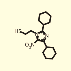 O=[N+]([O-])c1c(C2CCCCC2)nc(C2CCCCC2)n1CCS